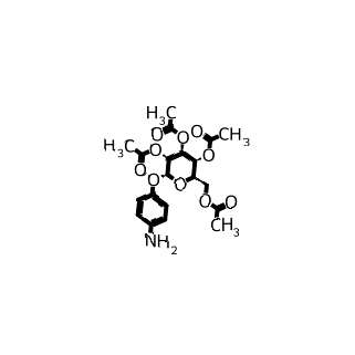 CC(=O)OC[C@H]1O[C@H](Oc2ccc(N)cc2)[C@H](OC(C)=O)[C@@H](OC(C)=O)[C@@H]1OC(C)=O